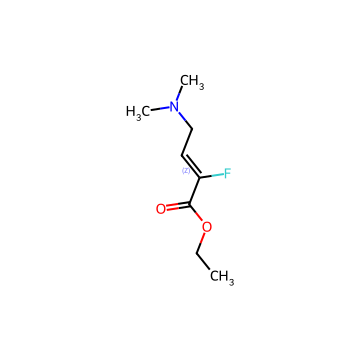 CCOC(=O)/C(F)=C/CN(C)C